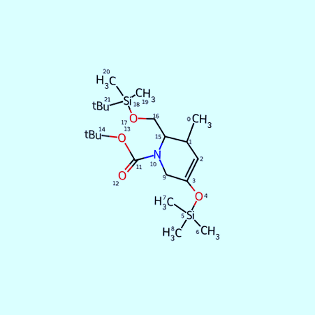 CC1C=C(O[Si](C)(C)C)CN(C(=O)OC(C)(C)C)C1CO[Si](C)(C)C(C)(C)C